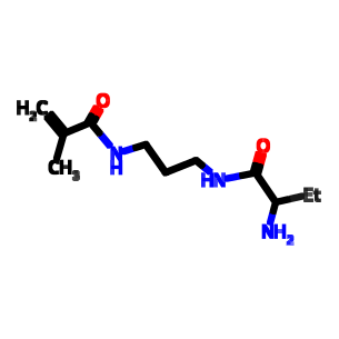 C=C(C)C(=O)NCCCNC(=O)C(N)CC